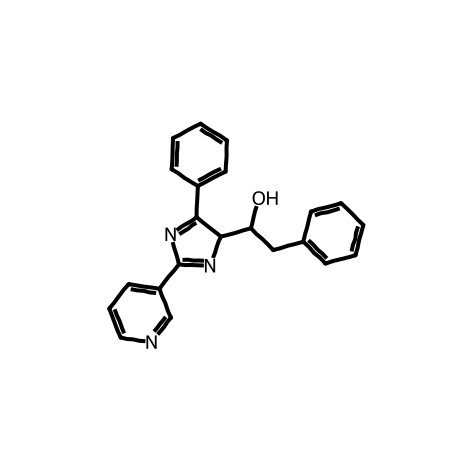 OC(Cc1ccccc1)C1N=C(c2cccnc2)N=C1c1ccccc1